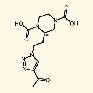 CC(=O)c1cn(CC[C@@H]2CN(C(=O)O)CCN2C(=O)O)nn1